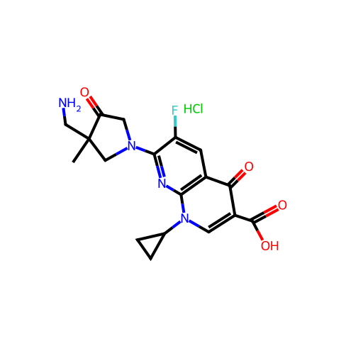 CC1(CN)CN(c2nc3c(cc2F)c(=O)c(C(=O)O)cn3C2CC2)CC1=O.Cl